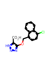 O=C(O)c1[nH]nnc1OCc1ccc(Cl)c2ccccc12